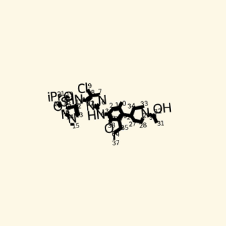 Cc1cc(Nc2ncc(Cl)c(Nc3cn(C)nc3S(=O)(=O)C(C)C)n2)c2c(c1C1CCN(C(C)O)CC1)C[C@@H](C)O2